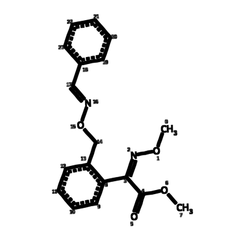 CON=C(C(=O)OC)c1ccccc1CON=Cc1ccccc1